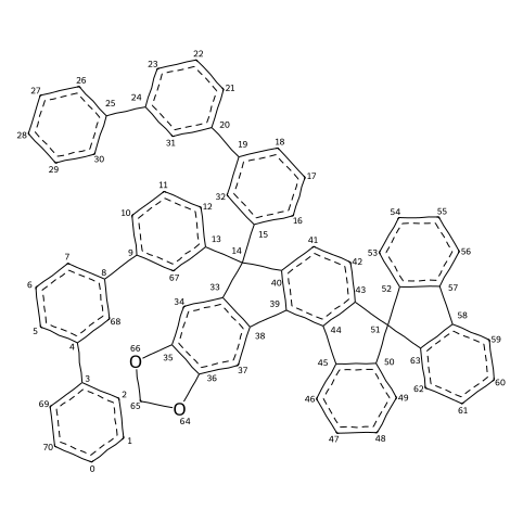 c1ccc(-c2cccc(-c3cccc(C4(c5cccc(-c6cccc(-c7ccccc7)c6)c5)c5cc6c(cc5-c5c4ccc4c5-c5ccccc5C45c4ccccc4-c4ccccc45)OCO6)c3)c2)cc1